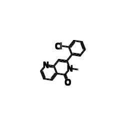 Cn1c(-c2ccccc2Cl)cc2ncccc2c1=O